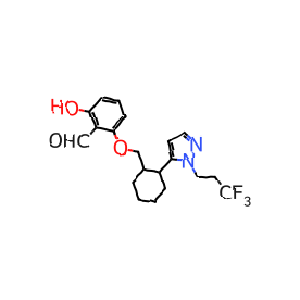 O=Cc1c(O)cccc1OCC1CCCCC1c1ccnn1CCC(F)(F)F